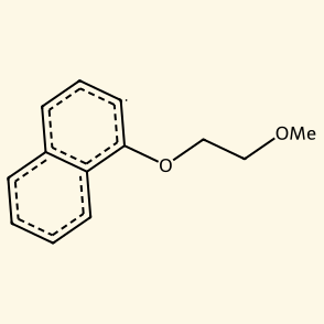 COCCOc1[c]ccc2ccccc12